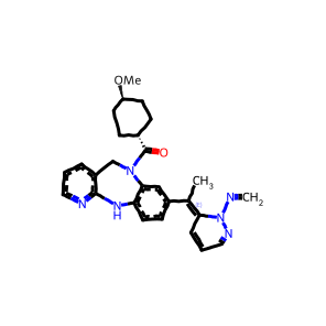 C=NN1N=CC=C/C1=C(/C)c1ccc2c(c1)N(C(=O)[C@H]1CC[C@H](OC)CC1)Cc1cccnc1N2